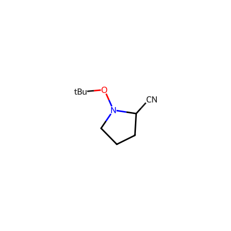 CC(C)(C)ON1CCCC1C#N